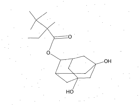 CCC(C)(C(=O)OC1C2CC3(O)CC1CC(O)(C2)C3)C(C)(C)C